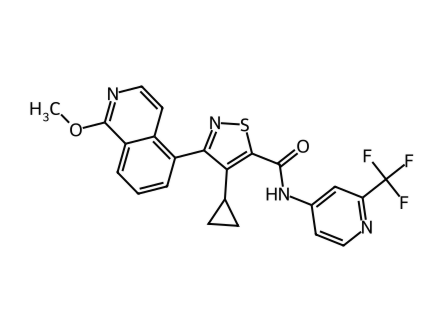 COc1nccc2c(-c3nsc(C(=O)Nc4ccnc(C(F)(F)F)c4)c3C3CC3)cccc12